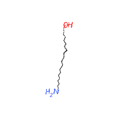 NCCCCCCCCCCCCCCCCCCCCO